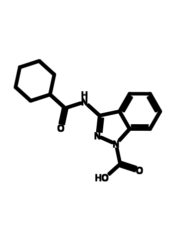 O=C(Nc1nn(C(=O)O)c2ccccc12)C1CCCCC1